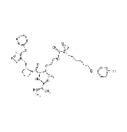 CNC(C)C(=O)NC(C(=O)N1CCCC1Cn1nnnc1Sc1ccccc1)C(C)OCCOC(=O)[C@]1(CCCCCCOc2ccc(Cl)cc2)CO1